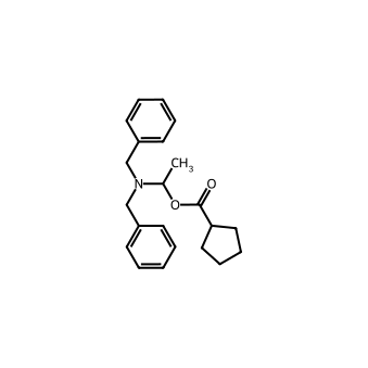 CC(OC(=O)C1CCCC1)N(Cc1ccccc1)Cc1ccccc1